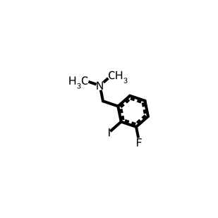 CN(C)Cc1cccc(F)c1I